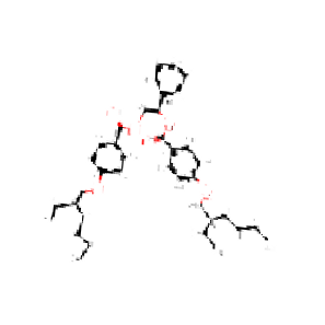 CCCCC(CC)COc1ccc(C(=O)OCC(OC(=O)c2ccc(OCC(CC)CCCC)cc2)c2ccccc2)cc1